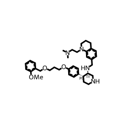 COc1ccccc1COCCCOc1ccc([C@H]2CCNC[C@H]2NCc2ccc3c(c2)N(CCN(C)C)CCC3)cc1